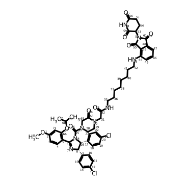 COc1ccc(C2=N[C@@H](c3ccc(Cl)cc3)[C@@H](c3ccc(Cl)cc3)N2C(=O)N2CCN(CC(=O)NCCCCCCCCNc3cccc4c3C(=O)N(C3CCC(=O)NC3=O)C4=O)C(=O)C2)c(OC(C)C)c1